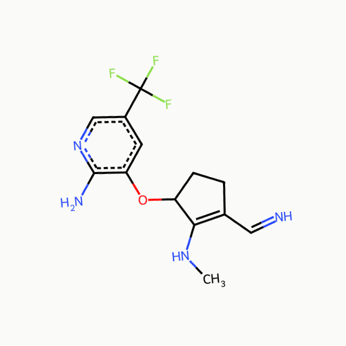 CNC1=C(C=N)CCC1Oc1cc(C(F)(F)F)cnc1N